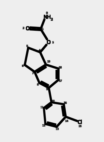 NC(=O)OC1CCc2cc(-c3cccc(Cl)c3)ccc21